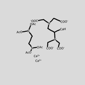 CC(=O)ON(CCN(OC(C)=O)OC(C)=O)OC(C)=O.O=C([O-])CN(CC(=O)[O-])C[CH]([CaH])N(CC(=O)[O-])CC(=O)[O-].[Ca+2].[Ca+2]